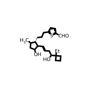 CCC1(C(O)C/C=C/C2C(O)CC(C)[C@@H]2CCCc2ccc(C=O)s2)CCC1